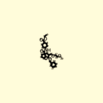 CCOC(=O)C1CCC(NC(=O)C2(CC(COCCOC)C(=O)OCc3ccccc3)CCCC2)CC1